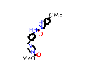 COC(=O)N1CCN(Cc2ccc(NC(=O)NCc3ccc(OC)cc3)cc2)CC1